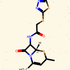 CC1C=C(C(=O)O)N2C(=O)C(NC(=O)CSc3nncs3)[C@@H]2S1